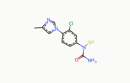 Cc1cn(-c2ccc(N(S)C(N)=O)cc2Cl)cn1